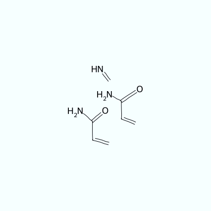 C=CC(N)=O.C=CC(N)=O.C=N